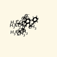 CN(Cc1ccccc1)c1ccc([N+](=O)[O-])cc1CN(C(=O)OC(C)(C)C)C(=O)OC(C)(C)C